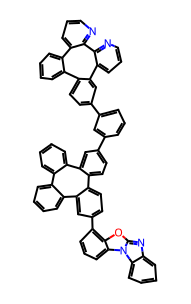 c1cc(-c2ccc3c(c2)-c2ccccc2-c2ccccc2-c2cc(-c4cccc5c4oc4nc6ccccc6n45)ccc2-3)cc(-c2ccc3c(c2)-c2cccnc2-c2ncccc2-c2ccccc2-3)c1